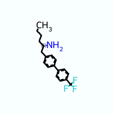 CCCC[C@H](N)Cc1ccc(-c2ccc(C(F)(F)F)cc2)cc1